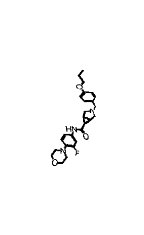 CCCOc1ccc(CN2CC3C(C2)C3C(=O)Nc2ccc(N3CCOCC3)c(F)c2)cc1